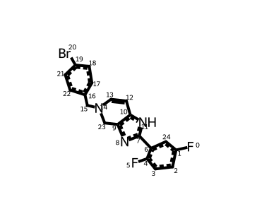 Fc1ccc(F)c(-c2nc3c([nH]2)C=CN(Cc2ccc(Br)cc2)C3)c1